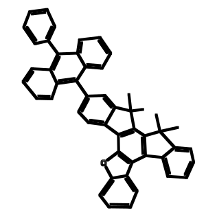 CC1(C)c2cc(-c3c4ccccc4c(-c4ccccc4)c4ccccc34)ccc2-c2c1c1c(c3c2oc2ccccc23)-c2ccccc2C1(C)C